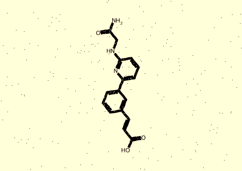 NC(=O)CNc1cccc(-c2cccc(/C=C/C(=O)O)c2)n1